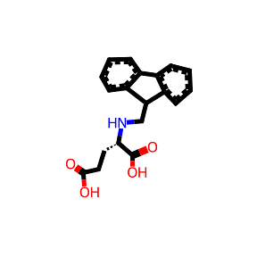 O=C(O)CC[C@H](NCC1c2ccccc2-c2ccccc21)C(=O)O